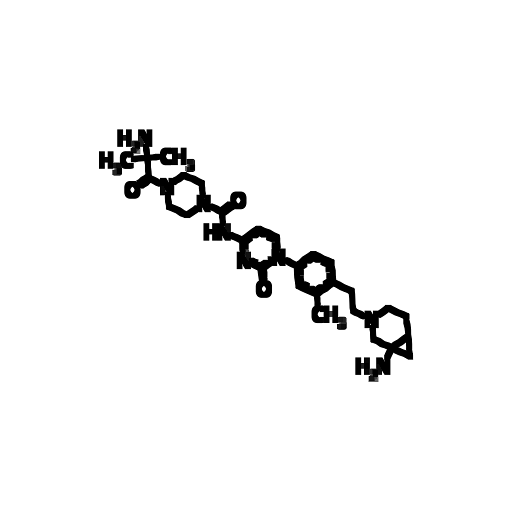 Cc1cc(-n2ccc(NC(=O)N3CCN(C(=O)C(C)(C)N)CC3)nc2=O)ccc1CCN1CCC2CC2(N)C1